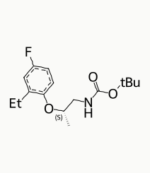 CCc1cc(F)ccc1O[C@@H](C)CNC(=O)OC(C)(C)C